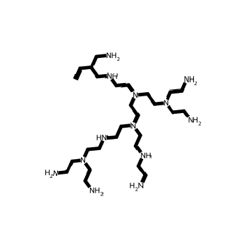 C=CC(CN)CNCCN(CCN(CCN)CCN)CCN(CCNCCN)CCNCCN(CCN)CCN